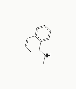 C/C=C\c1ccccc1CNC